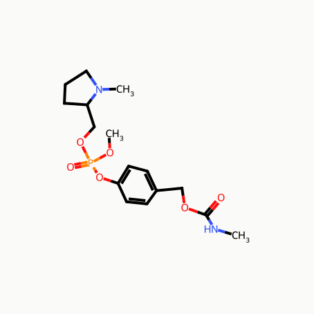 CNC(=O)OCc1ccc(OP(=O)(OC)OCC2CCCN2C)cc1